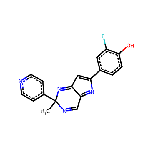 CC1(c2ccncc2)N=CC2=NC(c3ccc(O)c(F)c3)=CC2=N1